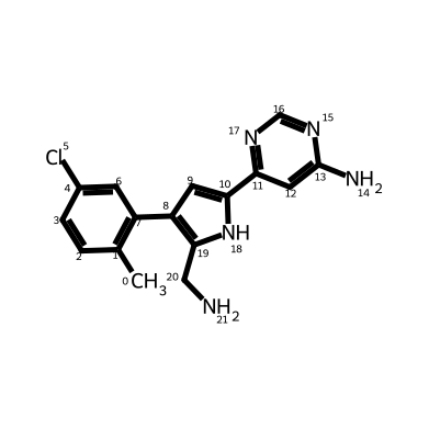 Cc1ccc(Cl)cc1-c1cc(-c2cc(N)ncn2)[nH]c1CN